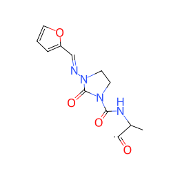 CC([C]=O)NC(=O)N1CCN(N=Cc2ccco2)C1=O